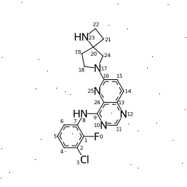 Fc1c(Cl)cccc1Nc1ncnc2ccc(N3CCC4(CCN4)C3)nc12